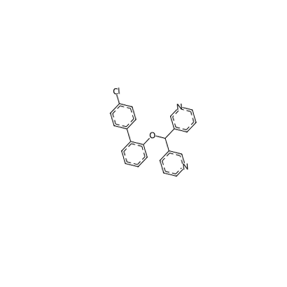 Clc1ccc(-c2ccccc2OC(c2cccnc2)c2cccnc2)cc1